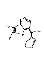 Cc1[nH]c2c(C(C)c3ccsc3)cccc2c1N